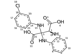 N[C@H](C(=O)O)C(Nc1ccccc1)(Nc1cccc(Cl)c1)C(=O)O